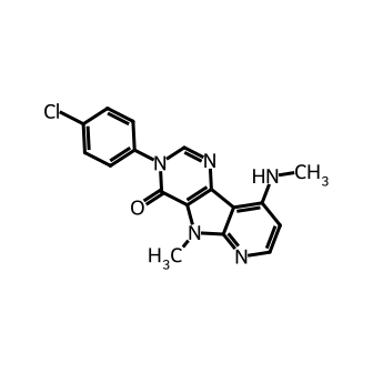 CNc1ccnc2c1c1ncn(-c3ccc(Cl)cc3)c(=O)c1n2C